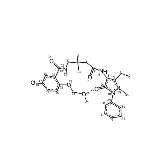 CCc1c(NC(=O)CC(C)(C)CNC(=O)c2cc(Cl)ccc2OCOC)c(=O)n(-c2ccccc2)n1C